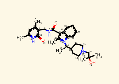 Cc1cc(C)c(CNC(=O)c2c(C)n([C@H](C)C3CCN(CC(C)(C)O)CC3)c3ccccc23)c(=O)[nH]1